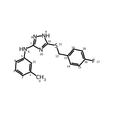 Cc1cccc(Nc2n[nH]c(SCc3ccc(F)cc3)n2)c1